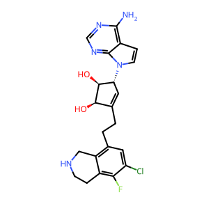 Nc1ncnc2c1ccn2[C@@H]1C=C(CCc2cc(Cl)c(F)c3c2CNCC3)[C@@H](O)[C@H]1O